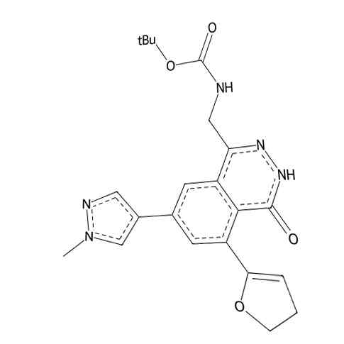 Cn1cc(-c2cc(C3=CCCO3)c3c(=O)[nH]nc(CNC(=O)OC(C)(C)C)c3c2)cn1